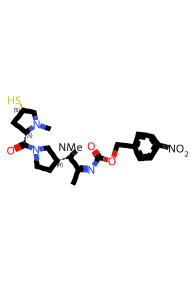 CNC(C(C)=NC(=O)OCc1ccc([N+](=O)[O-])cc1)[C@@H]1CCN(C(=O)[C@@H]2C[C@H](S)CN2C)C1